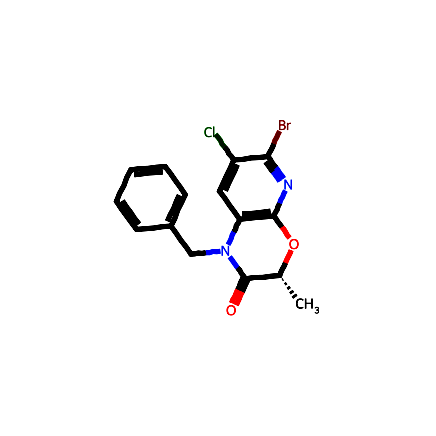 C[C@H]1Oc2nc(Br)c(Cl)cc2N(Cc2ccccc2)C1=O